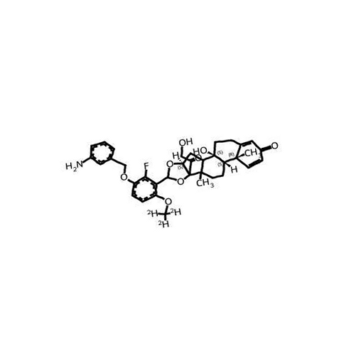 [2H]C([2H])([2H])Oc1ccc(OCc2cccc(N)c2)c(F)c1C1O[C@H]2CC3C(C)(CC[C@H]4[C@@]5(C)C=CC(=O)C=C5CC[C@@]34O)C2(C(=O)CO)O1